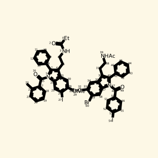 CCC(=O)NCCc1c(-c2ccccc2)n(C(=O)c2ccccc2C)c2cc(I)c(OC)cc12.COc1cc2c(CCNC(C)=O)c(-c3ccccc3)n(C(=O)c3ccc(I)cc3)c2cc1Br